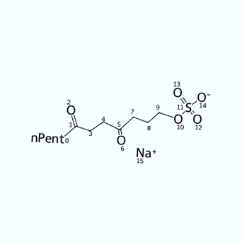 CCCCCC(=O)CCC(=O)CCCOS(=O)(=O)[O-].[Na+]